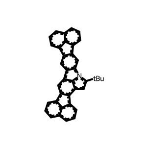 CC(C)(C)c1cc2c3c(cc4c5cc6c(cc5n1c42)c1cccc2cccc6c21)c1cccc2cccc3c21